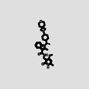 CSc1cc(C)[nH]c(=O)c1CNC(=O)c1c(C)n([C@H](C)C2CCC(N3CC4(CCOCC4)C3)CC2)c2ccccc12